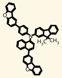 CC1(C)c2ccccc2-c2ccc(N(c3ccc(-c4ccc5oc6ccccc6c5c4)cc3)c3ccc(-c4ccc5oc6ccccc6c5c4)c4ccccc34)cc21